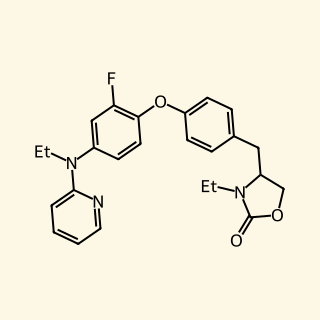 CCN(c1ccc(Oc2ccc(CC3COC(=O)N3CC)cc2)c(F)c1)c1ccccn1